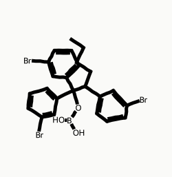 CCCCC(c1cccc(Br)c1)C(OB(O)O)(c1cccc(Br)c1)c1cccc(Br)c1